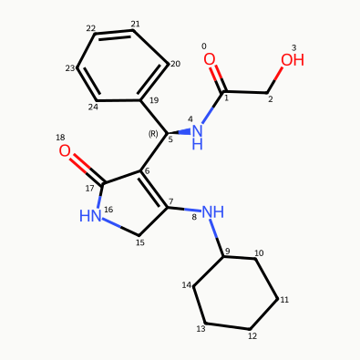 O=C(CO)N[C@@H](C1=C(NC2CCCCC2)CNC1=O)c1ccccc1